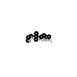 C[Si]1(C)c2ccccc2-c2ccc3cc(-c4c5ccccc5c(-c5ccc6ccc7cccnc7c6n5)c5ccccc45)ccc3c21